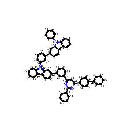 C1=CC2c3ccccc3N(c3ccccc3)C2C=C1c1cccc(-n2c3ccccc3c3ccc(-c4cccc(-c5cc(-c6ccc(-c7ccccc7)cc6)nc(-c6ccccc6)n5)c4)cc32)c1